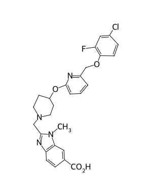 Cn1c(CN2CCC(Oc3cccc(COc4ccc(Cl)cc4F)n3)CC2)nc2ccc(C(=O)O)cc21